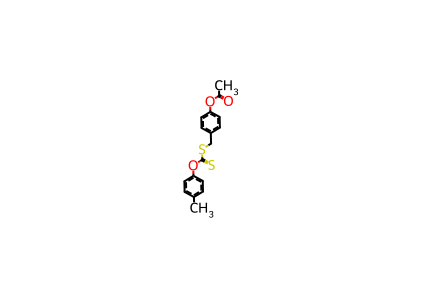 CC(=O)Oc1ccc(CSC(=S)Oc2ccc(C)cc2)cc1